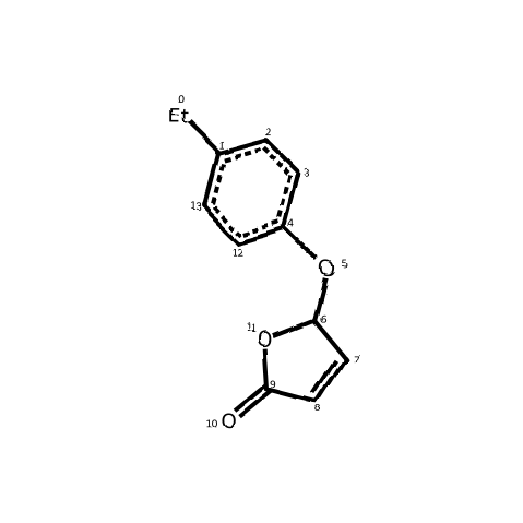 CCc1ccc(OC2C=CC(=O)O2)cc1